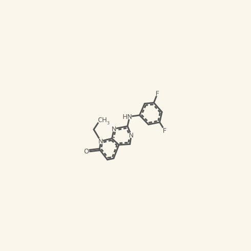 CCn1c(=O)ccc2cnc(Nc3cc(F)cc(F)c3)nc21